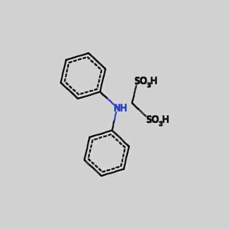 O=S(=O)(O)CS(=O)(=O)O.c1ccc(Nc2ccccc2)cc1